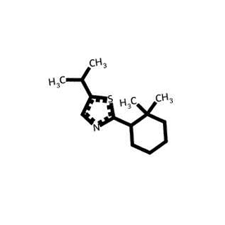 CC(C)c1cnc(C2CCCCC2(C)C)s1